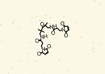 CC(C)(CNC(=O)CCN1C(=O)C=CC1=O)C1OC1(C)CNC(=O)CCN1C(=O)C=CC1=O